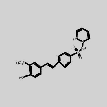 O=C(O)c1cc(C=Cc2ccc(S(=O)(=O)NN3C=CC=CN3)cc2)ccc1O